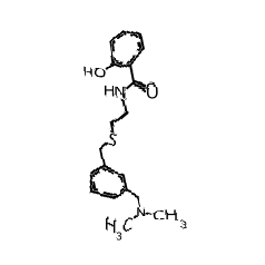 CN(C)Cc1cccc(CSCCNC(=O)c2ccccc2O)c1